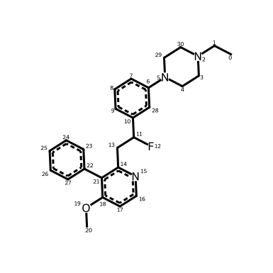 CCN1CCN(c2cccc(C(F)Cc3nccc(OC)c3-c3ccccc3)c2)CC1